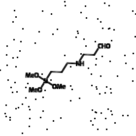 CO[Si](CCCNCCC=O)(OC)OC